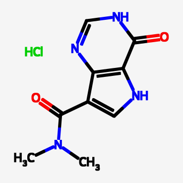 CN(C)C(=O)c1c[nH]c2c(=O)[nH]cnc12.Cl